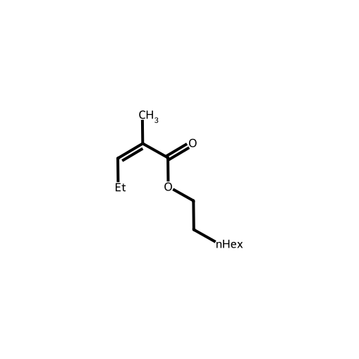 CCC=C(C)C(=O)OCCCCCCCC